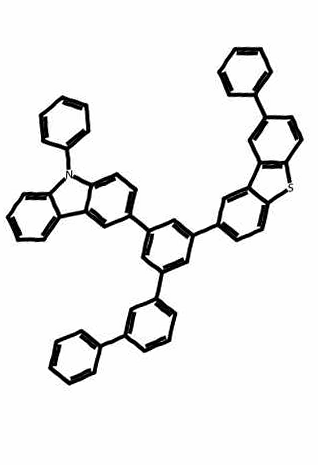 c1ccc(-c2cccc(-c3cc(-c4ccc5sc6ccc(-c7ccccc7)cc6c5c4)cc(-c4ccc5c(c4)c4ccccc4n5-c4ccccc4)c3)c2)cc1